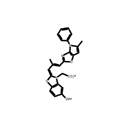 CSc1ccc2c(c1)N(CC(=O)O)C(=CC(C)=Cc1nc3c(cc(C)n3-c3ccccc3)o1)S2